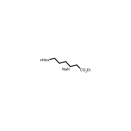 CCCCCCCCCCCC(=O)OCC.[NaH]